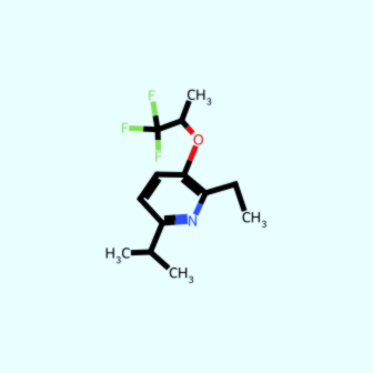 CCc1nc(C(C)C)ccc1OC(C)C(F)(F)F